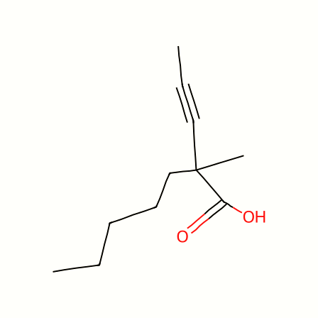 CC#CC(C)(CCCCC)C(=O)O